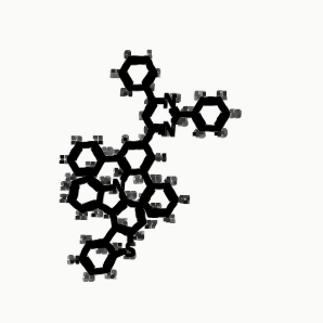 c1ccc(-c2cc(-c3cc(-c4ccccc4)c(-n4c5ccccc5c5c6c(ccc54)sc4ccccc46)c(-c4ccccc4)c3)nc(-c3ccccc3)n2)cc1